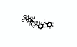 O=C(N[C@@H]1[C@@H]2CN(C(=O)O)C[C@@H]21)c1cccc(Nc2ccccc2)n1